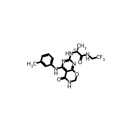 Cc1cccc(Nc2nc(N[C@@H](C)C(=O)NCC(F)(F)F)nc3c2C(=O)NCO3)c1